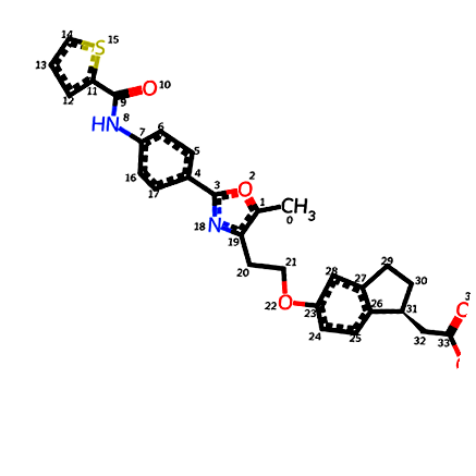 Cc1oc(-c2ccc(NC(=O)c3cccs3)cc2)nc1CCOc1ccc2c(c1)CC[C@H]2CC(=O)O